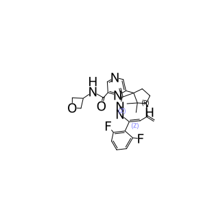 C=C1/C=C(c2c(F)cccc2F)\N=N/C(=C)C2(c3cncc(C(=O)NC4COC4)n3)CC[C@H]1C2(C)C